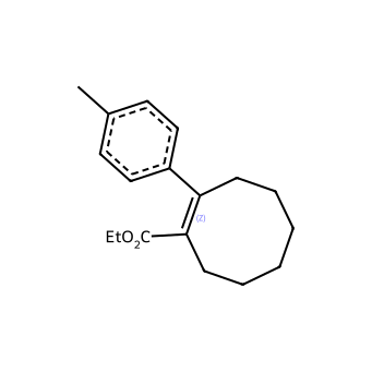 CCOC(=O)/C1=C(\c2ccc(C)cc2)CCCCCC1